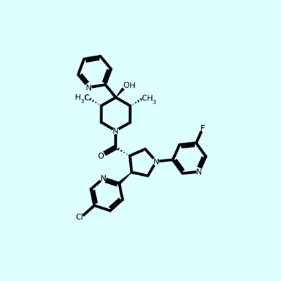 C[C@@H]1CN(C(=O)[C@@H]2CN(c3cncc(F)c3)C[C@H]2c2ccc(Cl)cn2)C[C@H](C)[C@]1(O)c1ccccn1